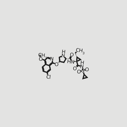 CC[C@@H]1C[C@]1(NC(=O)[C@@H]1C[C@@H](Oc2ncc(OC)c3ccc(Cl)cc23)CN1)C(=O)NS(=O)(=O)C1CC1